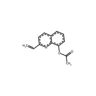 C=Cc1ccc2cccc(OC(C)=O)c2n1